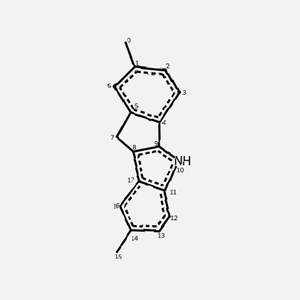 Cc1ccc2c(c1)Cc1c-2[nH]c2ccc(C)cc12